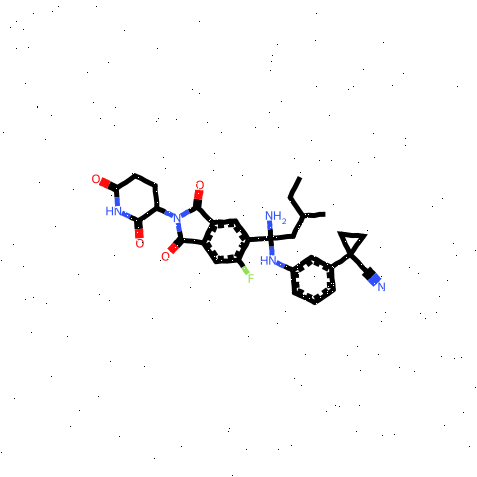 CCC(C)CC(N)(Nc1cccc(C2(C#N)CC2)c1)c1cc2c(cc1F)C(=O)N(C1CCC(=O)NC1=O)C2=O